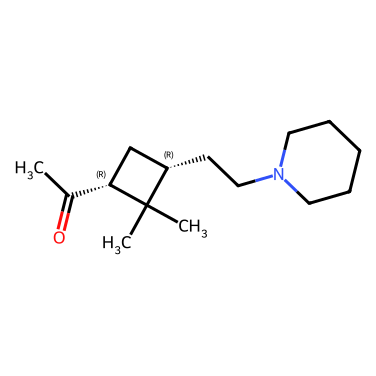 CC(=O)[C@@H]1C[C@H](CCN2CCCCC2)C1(C)C